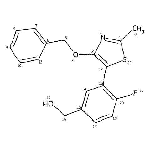 Cc1nc(OCc2ccccc2)c(-c2cc(CO)ccc2F)s1